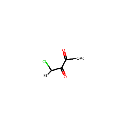 CCC(Cl)C(=O)C(=O)OC(C)=O